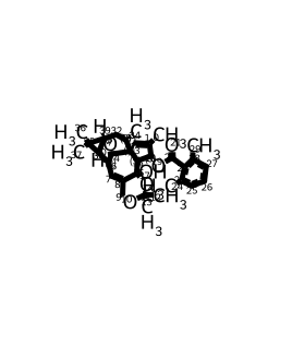 CC1=C[C@]23C(=O)[C@@H](C=C4COC(C)(C)OC4[C@]2(O)[C@H]1OC(=O)c1c(C)cccc1C)C1[C@@H](C[C@H]3C)C1(C)C